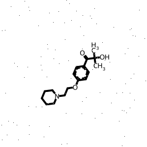 CC(C)(O)C(=O)c1ccc(OCCN2CCCCC2)cc1